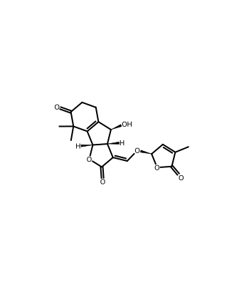 CC1=C[C@H](O/C=C2/C(=O)O[C@@H]3C4=C(CCC(=O)C4(C)C)[C@@H](O)[C@H]23)OC1=O